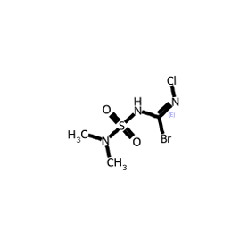 CN(C)S(=O)(=O)N/C(Br)=N\Cl